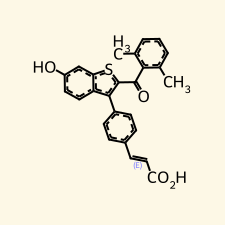 Cc1cccc(C)c1C(=O)c1sc2cc(O)ccc2c1-c1ccc(/C=C/C(=O)O)cc1